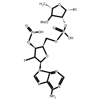 CC[C@H]1O[C@@H](C)C(OC)[C@H]1OP(=O)(O)OC[C@H]1O[C@@H](n2cnc3c(N)ncnc32)C(F)[C@H]1O[PH](=O)O